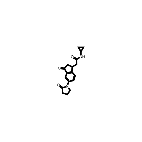 O=C(CC1CC(=O)c2cc(N3CCCC3=O)ccc21)NC1CC1